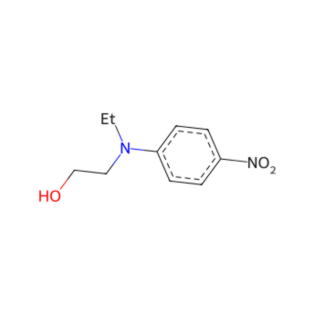 CCN(CCO)c1ccc([N+](=O)[O-])cc1